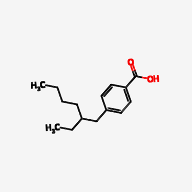 CCCCC(CC)Cc1ccc(C(=O)O)cc1